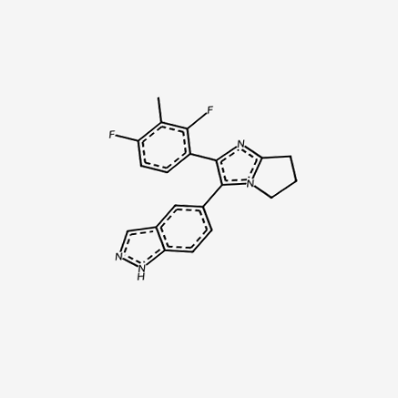 Cc1c(F)ccc(-c2nc3n(c2-c2ccc4[nH]ncc4c2)CCC3)c1F